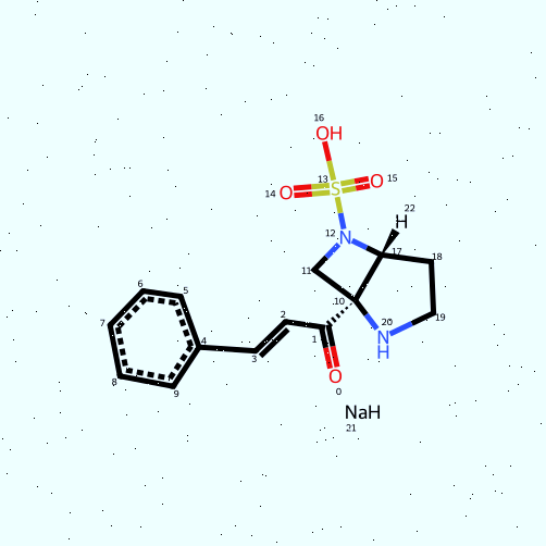 O=C(/C=C/c1ccccc1)[C@]12CN(S(=O)(=O)O)[C@@H]1CCN2.[NaH]